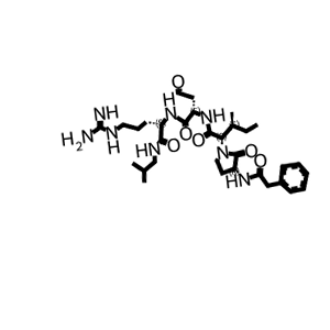 CC[C@H](C)[C@@H](C(=O)N[C@@H](CC=O)C(=O)N[C@@H](CCCNC(=N)N)C(=O)NCC(C)C)N1CC[C@@H](NC(=O)Cc2ccccc2)C1=O